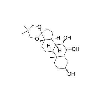 CC1(C)COC2(CC[C@H]3[C@@H]4[C@@H](O)[C@H](O)C5C[C@@H](O)CC[C@]5(C)[C@H]4CC[C@@]32C)OC1